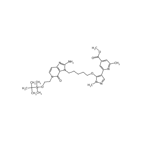 COC(=O)c1cc(C)nc(-c2cnn(C)c2OCCCCCn2c(N)nc3ccn(CCO[Si](C)(C)C(C)(C)C)c(=O)c32)c1